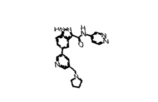 O=C(Nc1ccnnc1)c1n[nH]c2ccc(-c3cncc(CN4CCCC4)c3)cc12